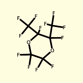 FC(F)(F)C1(F)OC(F)(F)C(F)(F)OC1(F)C(F)(F)F